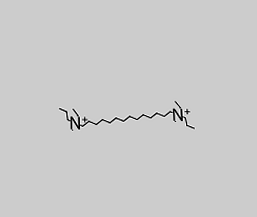 CCC[N+](C)(CC)CCCCCCCCCCCCCC[N+](C)(CC)CCC